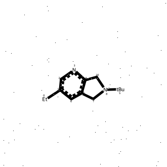 CCc1cnc2c(c1)CN(C(C)(C)C)C2